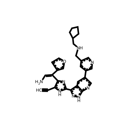 C#Cc1[nH]c(-c2n[nH]c3ncc(-c4cncc(CNCC5CCCC5)c4)cc23)nc1/C(=C\N)c1ccoc1